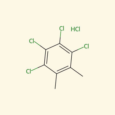 Cc1c(C)c(Cl)c(Cl)c(Cl)c1Cl.Cl